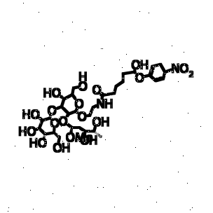 CO[C@H](CC(O)[C@@H](C)O)OC1C(O[C@H]2O[C@@H](CO)[C@H](O)C(O)C2O)[C@@H](O)C(CO)O[C@H]1OCCNC(=O)CCCCC(O)OC1=CCC([N+](=O)[O-])C=C1